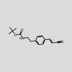 CC(C)(C)OC(=O)NCCc1ccc(/C=C/C#N)cc1